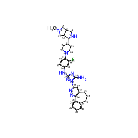 CN1CC2CNC(C3CCN(c4ccc(Nc5nc(N)n(-c6cc7c(nn6)-c6ccccc6CCC7)n5)cc4F)CC3)C2C1